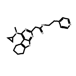 CN(c1nc(CC(=O)NCCc2ccncc2)nc2sc3c(c12)CCCC3)C1CC1